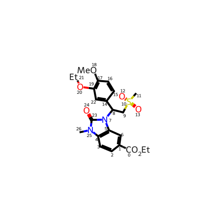 CCOC(=O)c1ccc2c(c1)n(C(CS(C)(=O)=O)c1ccc(OC)c(OCC)c1)c(=O)n2C